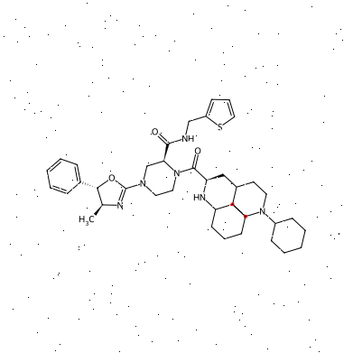 C[C@@H]1N=C(N2CCN(C(=O)[C@@H](CC3CCN(C4CCCCC4)CC3)NC3CCCCC3)[C@H](C(=O)NCc3cccs3)C2)O[C@H]1c1ccccc1